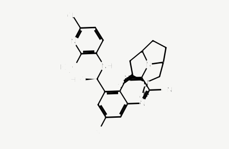 Cc1cc([C@@H](C)Nc2ccc(Cl)nc2C(=O)O)c2nc(N3C4CCC3CN(C)C(=O)C4)c(C#N)nc2c1